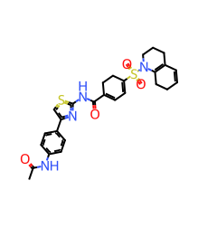 CC(=O)Nc1ccc(-c2csc(NC(=O)C3=CC=C(S(=O)(=O)N4CCCC5=C4CCC=C5)CC3)n2)cc1